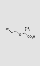 CC(SSCO)C(=O)O